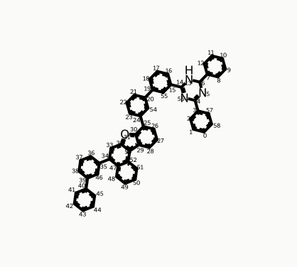 c1ccc(C2=NC(c3ccccc3)NC(c3cccc(-c4cccc(-c5cccc6c5oc5cc(-c7cccc(-c8ccccc8)c7)c7ccccc7c56)c4)c3)=N2)cc1